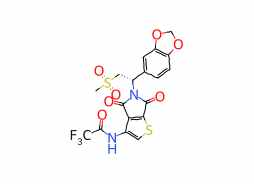 CS(=O)(=O)C[C@H](c1ccc2c(c1)OCO2)N1C(=O)c2scc(NC(=O)C(F)(F)F)c2C1=O